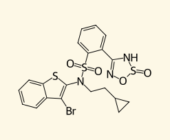 O=S1NC(c2ccccc2S(=O)(=O)N(CCC2CC2)c2sc3ccccc3c2Br)=NO1